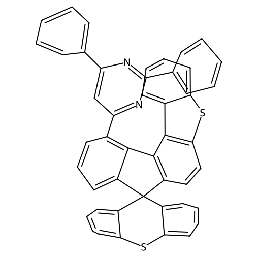 c1ccc(-c2cc(-c3cccc4c3-c3c(ccc5sc6ccccc6c35)C43c4ccccc4Sc4ccccc43)nc(-c3ccccc3)n2)cc1